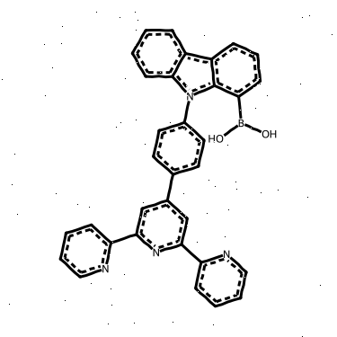 OB(O)c1cccc2c3ccccc3n(-c3ccc(-c4cc(-c5ccccn5)nc(-c5ccccn5)c4)cc3)c12